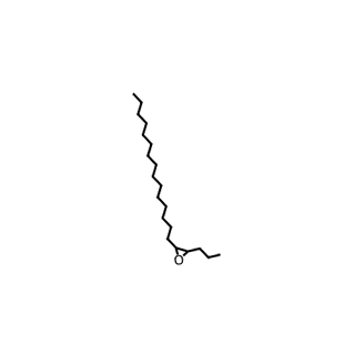 CCCCCCCCCCCCCCCC1OC1CCC